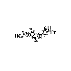 CC(C)Nc1ccc(-c2nnc(-c3cc(F)c(OC[C@H](N)CO)cc3Cl)s2)cc1Cl.Cl